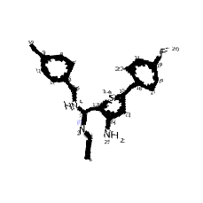 C=C/N=C(/NCc1ccc(C)cc1)c1sc(-c2ccc(F)cc2)cc1N